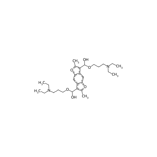 CCN(CC)CCCOC(O)c1c(C)oc2cc3c(C(O)OCCCN(CC)CC)c(C)oc3cc12